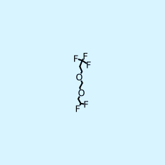 FC(F)COCCOCCC(F)(F)F